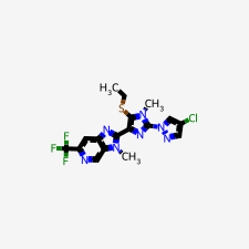 CCSc1c(-c2nc3cc(C(F)(F)F)ncc3n2C)nc(-n2cc(Cl)cn2)n1C